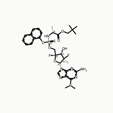 C[C@@H](N[P@](=S)(OC[C@@]1(F)O[C@@H](n2cnc3c(N(C)C)nc(N)nc32)[C@](C)(F)[C@@H]1O)Oc1cccc2ccccc12)C(=O)OCC(C)(C)C